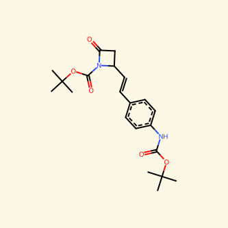 CC(C)(C)OC(=O)Nc1ccc(C=CC2CC(=O)N2C(=O)OC(C)(C)C)cc1